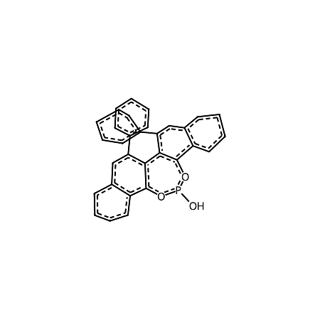 Op1oc2c3ccccc3cc(-c3ccccc3)c2c2c(-c3ccccc3)cc3ccccc3c2o1